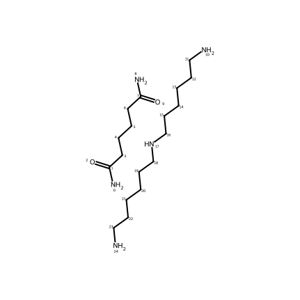 NC(=O)CCCCC(N)=O.NCCCCCCNCCCCCCN